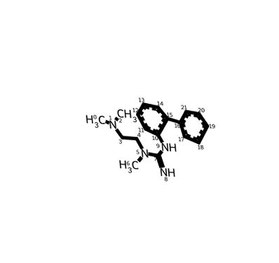 CN(C)CCN(C)C(=N)Nc1ccccc1-c1ccccc1